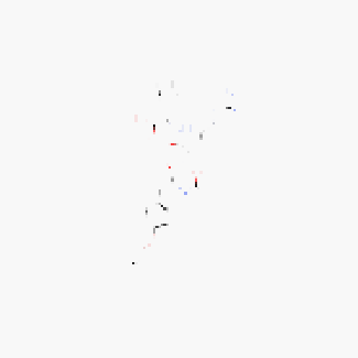 C=CCOc1ccc(C[C@H](NC(C)=O)C(=O)N[C@@H](CCCNC(=N)N)C(=O)N[C@@H](CC=C)C(=O)O)cc1.Cl